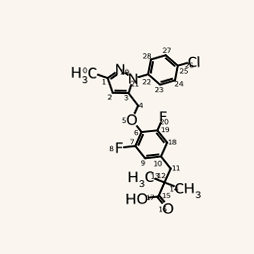 Cc1cc(COc2c(F)cc(CC(C)(C)C(=O)O)cc2F)n(-c2ccc(Cl)cc2)n1